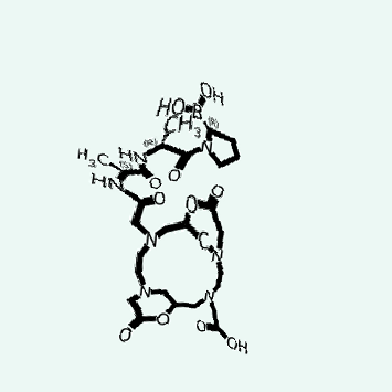 C[C@H](NC(=O)CN1CCN2CC(=O)OC(CN(CC(=O)O)CCN3CC(=O)OC(C1)C3)C2)C(=O)N[C@H](C)C(=O)N1CCC[C@H]1B(O)O